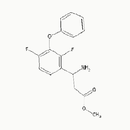 COC(=O)CC(N)c1ccc(F)c(Oc2ccccc2)c1F